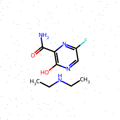 CCNCC.NC(=O)c1nc(F)cnc1O